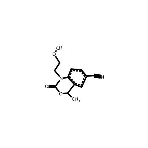 COCCN1C(=O)OC(C)c2cc(C#N)ccc21